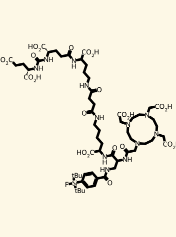 CC(C)(C)[Si](F)(c1ccc(C(=O)NCC(NC(=O)CN2CCN(CC(=O)O)CCN(CC(=O)O)CCN(CC(=O)O)CC2)C(=O)NC(CCCCNC(=O)CCC(=O)NCCCC(NC(=O)CC[C@H](NC(=O)N[C@@H](CCC(=O)O)C(=O)O)C(=O)O)C(=O)O)C(=O)O)cc1)C(C)(C)C